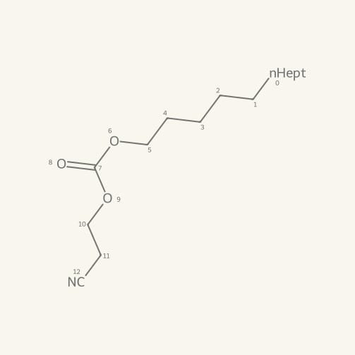 CCCCCCCCCCCCOC(=O)OCCC#N